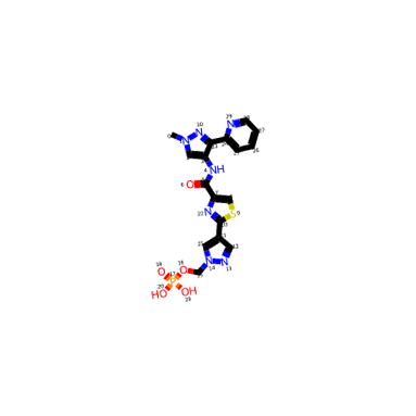 Cn1cc(NC(=O)c2csc(-c3cnn(COP(=O)(O)O)c3)n2)c(-c2ccccn2)n1